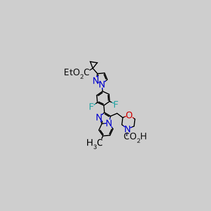 CCOC(=O)C1(c2ccn(-c3cc(F)c(-c4nc5cc(C)ccn5c4CC4CN(C(=O)O)CCO4)c(F)c3)n2)CC1